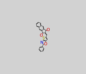 O=C1C(=Cc2cc3oc(-c4ccccc4)nc3s2)C(=O)c2cc3ccccc3cc21